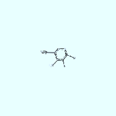 N#Cc1cnc(Cl)c(F)c1N